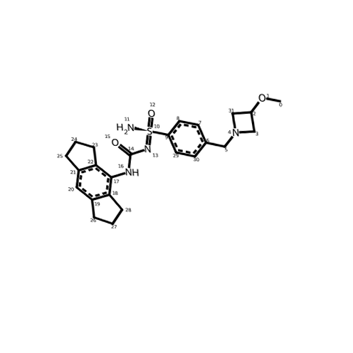 COC1CN(Cc2ccc([S@@](N)(=O)=NC(=O)Nc3c4c(cc5c3CCC5)CCC4)cc2)C1